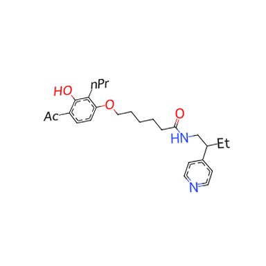 CCCc1c(OCCCCCC(=O)NCC(CC)c2ccncc2)ccc(C(C)=O)c1O